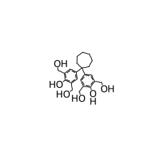 OCc1cc(C2(c3cc(CO)c(O)c(CO)c3)CCCCCC2)cc(CO)c1O